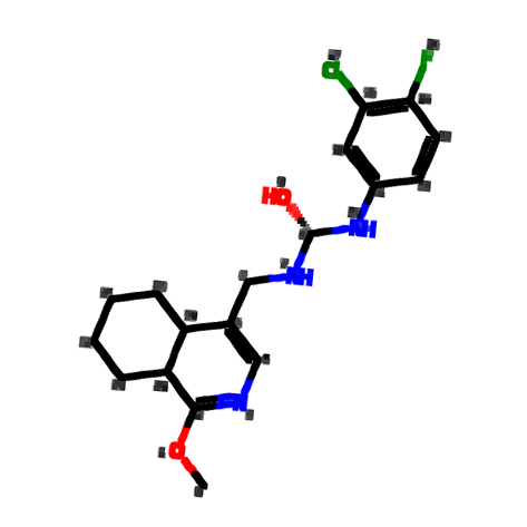 COC1=NC=C(CN[C@H](O)Nc2ccc(F)c(Cl)c2)C2CCCCC12